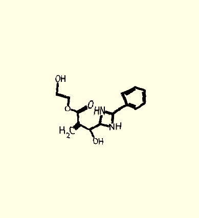 C=C(C(=O)OCCO)C(O)C1NC(c2ccccc2)N1